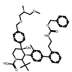 COC[C@H](C)COCc1ccc([C@@]2(O)CCN(C(=O)O)C(C(C)(C)C)[C@@H]2c2ccc(-c3ccccc3CCNC(=O)OCc3ccccc3)cc2C)cc1